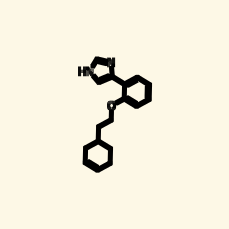 C1=CCC(CCOc2ccccc2-c2c[nH]cn2)CC1